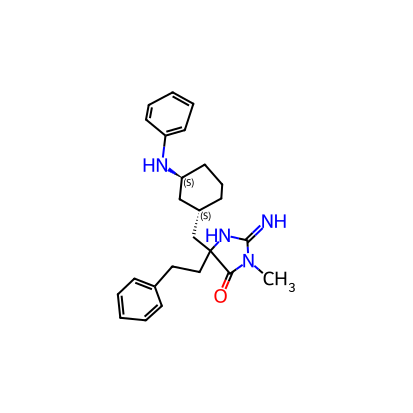 CN1C(=N)NC(CCc2ccccc2)(C[C@H]2CCC[C@H](Nc3ccccc3)C2)C1=O